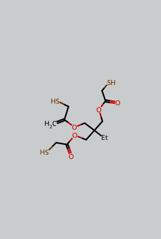 C=C(CS)OCC(CC)(COC(=O)CS)COC(=O)CS